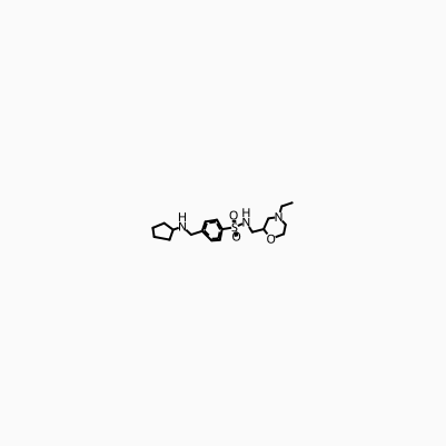 CCN1CCOC(CNS(=O)(=O)c2ccc(CNC3CCCC3)cc2)C1